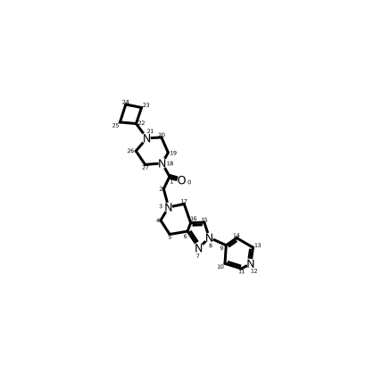 O=C(CN1CCc2nn(-c3ccncc3)cc2C1)N1CCN(C2CCC2)CC1